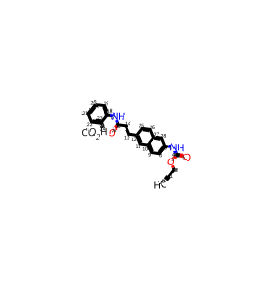 C#CCOC(=O)Nc1ccc2cc(CCC(=O)Nc3ccccc3C(=O)O)ccc2c1